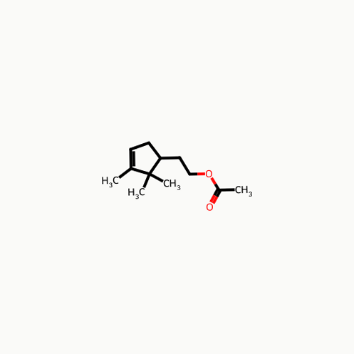 CC(=O)OCCC1CC=C(C)C1(C)C